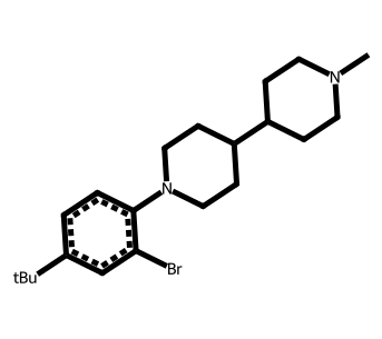 CN1CCC(C2CCN(c3ccc(C(C)(C)C)cc3Br)CC2)CC1